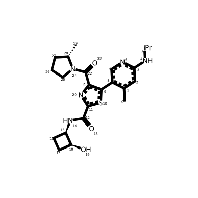 Cc1cc(NC(C)C)ncc1-c1sc(C(=O)N[C@@H]2CC[C@@H]2O)nc1C(=O)N1CCC[C@@H]1C